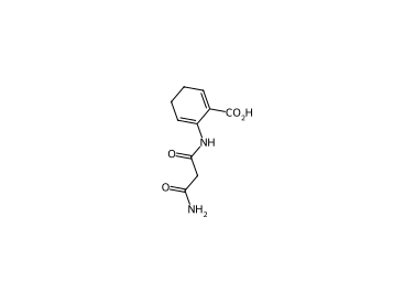 NC(=O)CC(=O)NC1=CCCC=C1C(=O)O